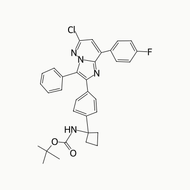 CC(C)(C)OC(=O)NC1(c2ccc(-c3nc4c(-c5ccc(F)cc5)cc(Cl)nn4c3-c3ccccc3)cc2)CCC1